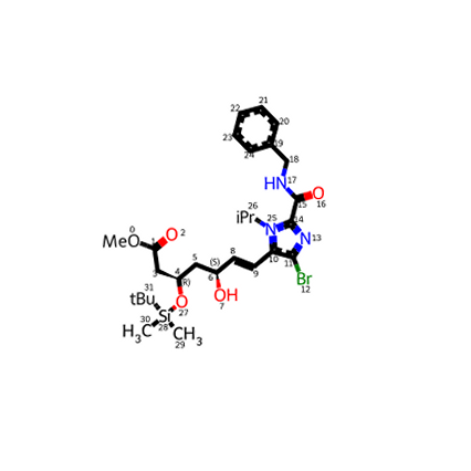 COC(=O)C[C@@H](C[C@H](O)C=Cc1c(Br)nc(C(=O)NCc2ccccc2)n1C(C)C)O[Si](C)(C)C(C)(C)C